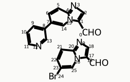 O=Cc1cnc2ccc(-c3cccnc3)cn12.O=Cc1cnc2ccc(Br)cn12